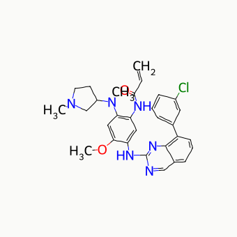 C=CC(=O)Nc1cc(Nc2ncc3cccc(-c4cccc(Cl)c4)c3n2)c(OC)cc1N(C)C1CCN(C)C1